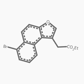 CCOC(=O)Cc1coc2ccc3c(Br)cccc3c12